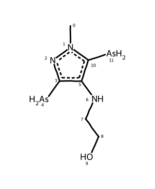 Cn1nc([AsH2])c(NCCO)c1[AsH2]